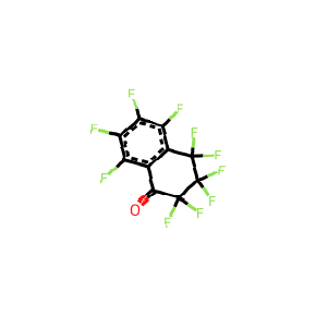 O=C1c2c(F)c(F)c(F)c(F)c2C(F)(F)C(F)(F)C1(F)F